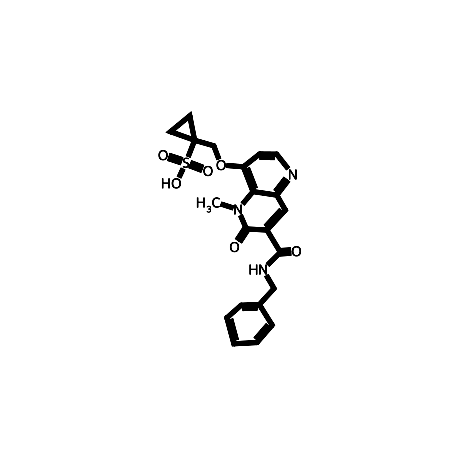 Cn1c(=O)c(C(=O)NCc2ccccc2)cc2nccc(OCC3(S(=O)(=O)O)CC3)c21